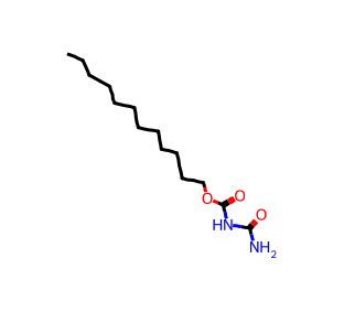 CCCCCCCCCCCCOC(=O)NC(N)=O